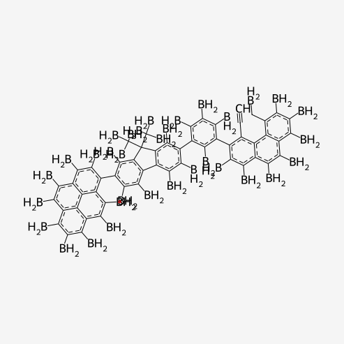 BCc1c(B)c(B)c(B)c2c(B)c(B)c3c(B)c(B)c(-c4c(B)c(B)c(B)c(-c5c(B)c(B)c6c(c5B)C(C(B)(B)B)(C(B)(B)B)c5c(B)c(-c7c(B)c(B)c8c(B)c(B)c9c(B)c(B)c(B)c%10c(B)c(B)c7c8c9%10)c(B)c(B)c5-6)c4B)c(C#C)c3c12